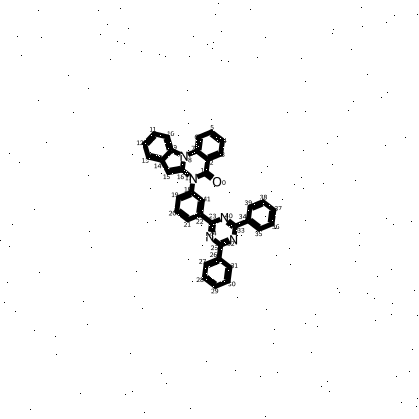 O=c1c2ccccc2n2c3ccccc3cc2n1-c1cccc(-c2nc(-c3ccccc3)nc(-c3ccccc3)n2)c1